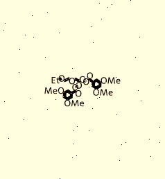 [CH2]COCCOC[C](OOC(=O)c1cc(OC)cc(OC)c1)OOC(=O)c1cc(OC)cc(OC)c1